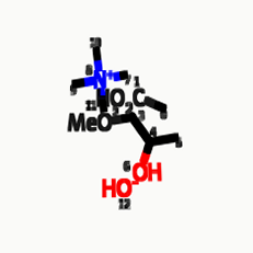 CC(=O)O.COCC(C)O.C[N+](C)(C)C.[OH-]